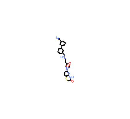 N#Cc1cccc(-c2cccc(CNCCC34CN(c5ccc6c(n5)NC(=O)CS6)C(O3)O4)c2)c1